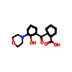 O=C(O)c1ccccc1C(=O)c1cccc(N2CCOCC2)c1O